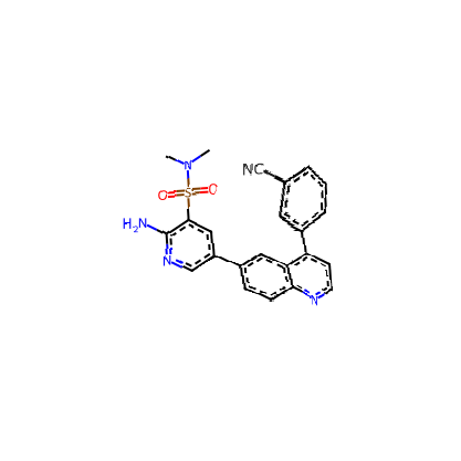 CN(C)S(=O)(=O)c1cc(-c2ccc3nccc(-c4cccc(C#N)c4)c3c2)cnc1N